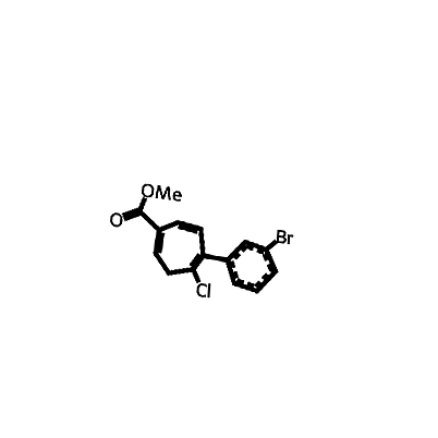 COC(=O)C1=CCC(Cl)=C(c2cccc(Br)c2)C=C1